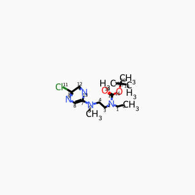 CCN(CCN(C)c1cnc(Cl)cn1)C(=O)OC(C)(C)C